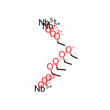 CC[O-].CC[O-].CC[O-].CC[O-].CC[O-].[Nb+5].[Nb+5].[Nb+5].[O-2].[O-2].[O-2].[O-2].[O-2]